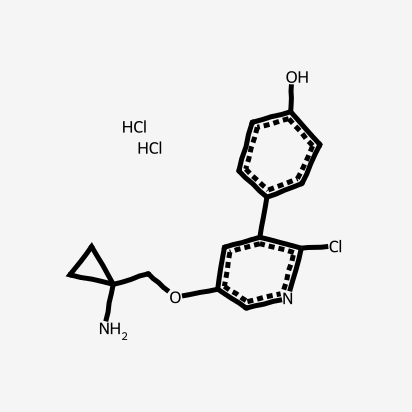 Cl.Cl.NC1(COc2cnc(Cl)c(-c3ccc(O)cc3)c2)CC1